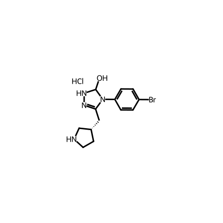 Cl.OC1NN=C(C[C@@H]2CCNC2)N1c1ccc(Br)cc1